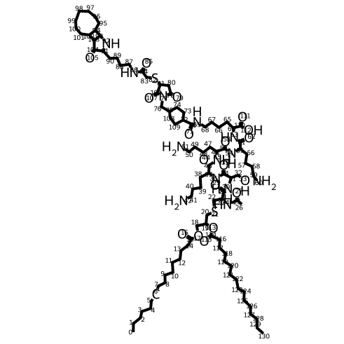 CCCCCCCCCCCCCCCC(=O)OCC(CSCC(NC(C)=O)C(=O)NC(CO)C(=O)NC(CCCCN)C(=O)NC(CCCCN)C(=O)NC(CCCCN)C(=O)NC(CCCCNC(=O)C1CCC(CN2C(=O)CC(SCC(=O)NCCCCC3NC4C5CCCCCCCC5C4C3=O)C2=O)CC1)C(=O)O)OC(=O)CCCCCCCCCCCCCCC